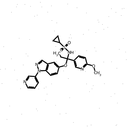 CCC(NS(=O)(=O)C1CC1)(Oc1ccc2c(cnn2-c2cccnc2)c1)c1ccc(OC)nc1